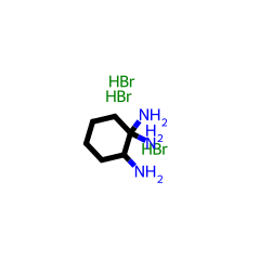 Br.Br.Br.NC1CCCCC1(N)N